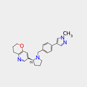 Cn1cc(-c2ccc(CN3CCC[C@H]3c3cnc4c(c3)OCCC4)cc2)cn1